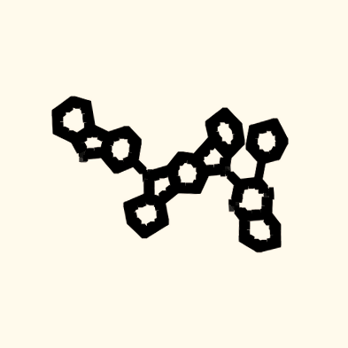 c1ccc(-c2nc3ccccc3nc2-n2c3ccccc3c3cc4c(cc32)c2ccccc2n4-c2ccc3c(c2)sc2ccccc23)cc1